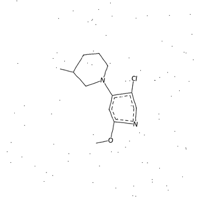 COc1cc(N2CCCC(C)C2)c(Cl)cn1